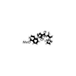 COc1nccc2c(-n3ncc(C(=O)NC(F)=C(C)n4nccn4)c3C(F)(F)F)cccc12